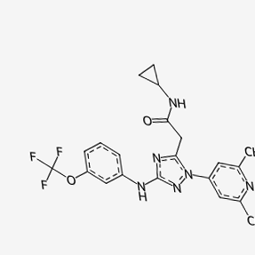 Cc1cc(-n2nc(Nc3cccc(OC(F)(F)F)c3)nc2CC(=O)NC2CC2)cc(C)n1